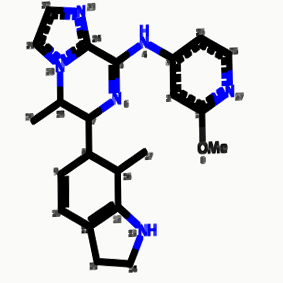 COc1cc(NC2=NC(C3C=CC4=C(NCC4)C3C)C(C)n3ccnc32)ccn1